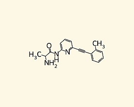 Cc1ccccc1C#Cc1cccc(NC(=O)C(C)N)n1